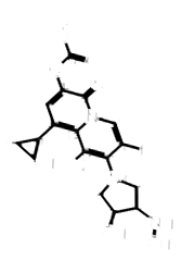 CNC1CN(c2c(F)cn3c(=O)c(OC(=O)O)cc(C4CC4)c3c2C)CC1O